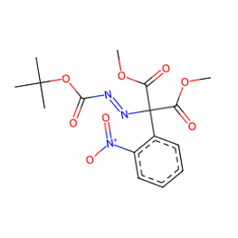 COC(=O)C(/N=N/C(=O)OC(C)(C)C)(C(=O)OC)c1ccccc1[N+](=O)[O-]